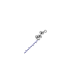 C/C=C/C(C)=C/C=C/C(C)=C/C=C/C=C(C)/C=C/C=C(C)/C=C/C1=C(C)C(=O)C(OC(=O)CCC(=O)OCC2CCCCC2)CC1(C)C